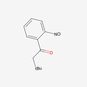 CC(C)(C)CC(=O)c1ccccc1N=O